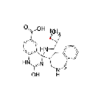 NCC1(CNC2(C3CNSc4ccccc4C3)N=C(O)Nc3ccc(C(=O)O)cc32)COC1